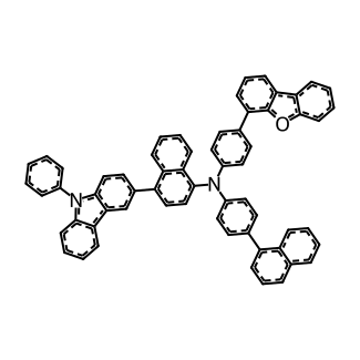 c1ccc(-n2c3ccccc3c3cc(-c4ccc(N(c5ccc(-c6cccc7ccccc67)cc5)c5ccc(-c6cccc7c6oc6ccccc67)cc5)c5ccccc45)ccc32)cc1